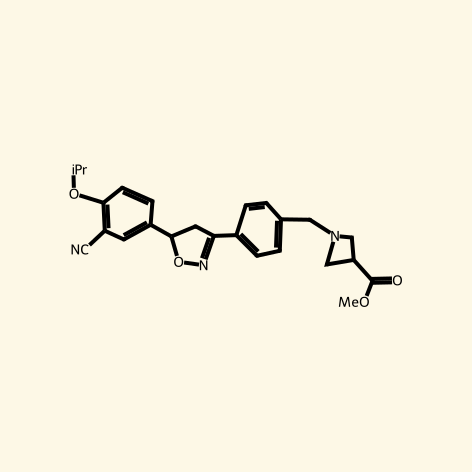 COC(=O)C1CN(Cc2ccc(C3=NOC(c4ccc(OC(C)C)c(C#N)c4)C3)cc2)C1